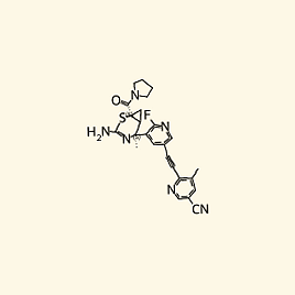 Cc1cc(C#N)cnc1C#Cc1cnc(F)c([C@@]2(C)N=C(N)S[C@@]3(C(=O)N4CCCC4)CC32)c1